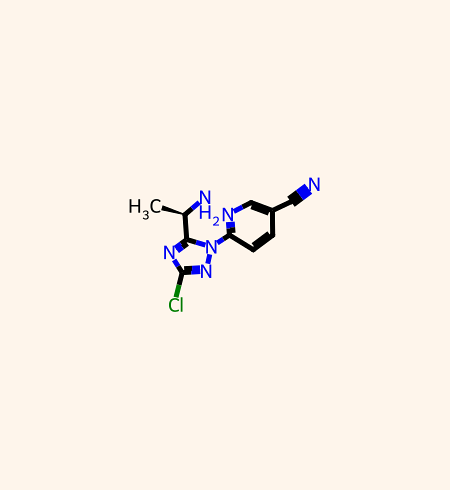 C[C@@H](N)c1nc(Cl)nn1-c1ccc(C#N)cn1